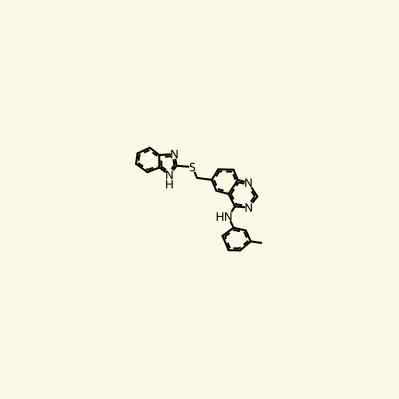 Cc1cccc(Nc2ncnc3ccc(CSc4nc5ccccc5[nH]4)cc23)c1